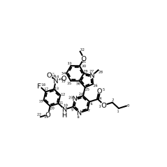 CCCOC(=O)c1cnc(Nc2cc([N+](=O)[O-])c(F)cc2OC)nc1-c1cn(C)c2c(OC)cccc12